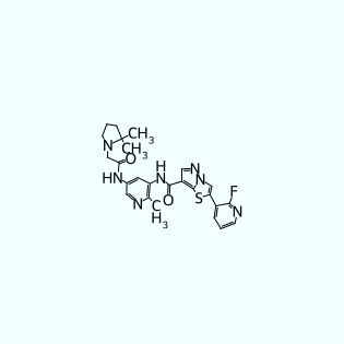 Cc1ncc(NC(=O)CN2CCCC2(C)C)cc1NC(=O)c1cnn2cc(-c3cccnc3F)sc12